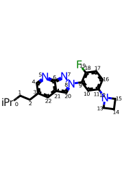 CC(C)CCc1cnc2nn(-c3cc(N4CCC4)ccc3F)cc2c1